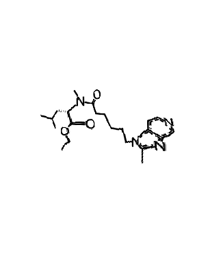 CCOC(=O)[C@H](CC(C)C)N(C)C(=O)CCCCCn1c(C)nc2cnccc21